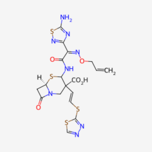 C=CCON=C(C(=O)NC1S[C@@H]2CC(=O)N2CC1(C=CSc1nncs1)C(=O)O)c1nsc(N)n1